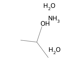 CC(C)O.N.O.O